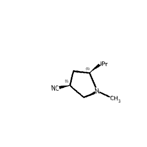 CC(C)[C@@H]1C[C@H](C#N)CN1C